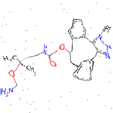 CC(C)n1nnc2c1-c1ccccc1C(OC(=O)NCCC(C)(C)OCN)Cc1ccccc1-2